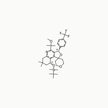 COC(C)(C)c1nc2c(c3c1[C@@H](c1ccc(C(F)(F)F)cc1)OC31CCOCC1)[C@@H](O[Si](C)(C)C(C)(C)C)CC(C)(C)C2